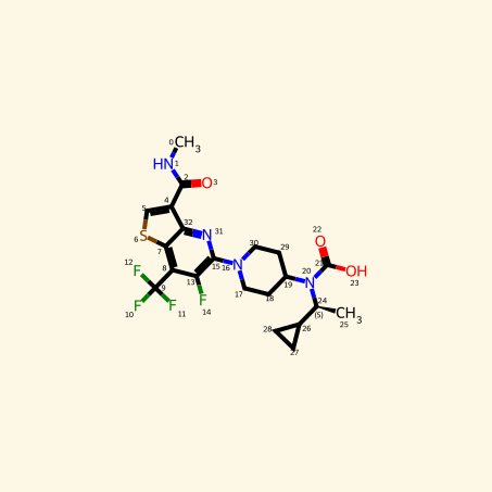 CNC(=O)c1csc2c(C(F)(F)F)c(F)c(N3CCC(N(C(=O)O)[C@@H](C)C4CC4)CC3)nc12